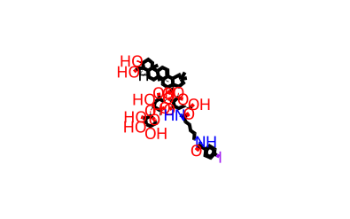 C[C@H]1O[C@@H](OC2C(O)[C@@H](NC(=O)CCCCCNC(=O)c3ccc(I)cc3)[C@@H](CO)O[C@H]2OC(=O)[C@]23CCC(C)(C)CC2C2=CCC4C5(C)CC[C@H](O)[C@](C)(CO)[C@@H]5CCC4(C)[C@]2(C)CC3)C(O)C(O)[C@H]1O[C@@H]1OC[C@@H](O)C(O)C1O